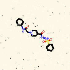 O=C(CN1C=CC(C(=O)NNS(=O)(=O)c2ccccc2)=CC1)Nc1ccccc1